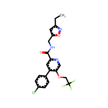 CCc1cc(CNC(=O)c2cc(-c3ccc(Cl)cc3)c(OCC(F)(F)F)cn2)on1